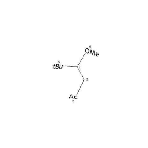 COC(CC(C)=O)C(C)(C)C